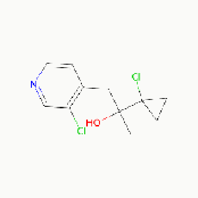 CC(O)(Cc1ccncc1Cl)C1(Cl)CC1